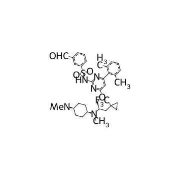 CN[C@H]1CC[C@@H](N(C)[C@@H](COc2cc(-c3c(C)cccc3C)nc(NS(=O)(=O)c3cccc(C=O)c3)n2)CC2(C(F)(F)F)CC2)CC1